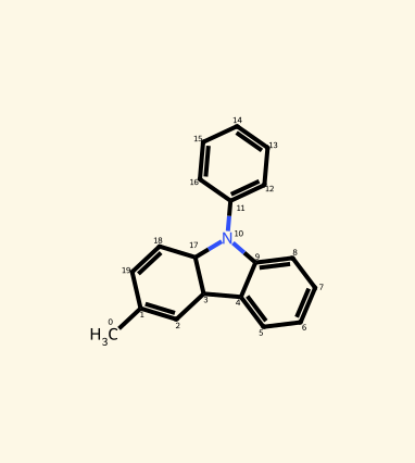 CC1=CC2c3ccccc3N(c3ccccc3)C2C=C1